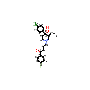 CC1CN(CCCC(=O)c2ccc(F)cc2)CCC1(O)c1ccc(Cl)cc1